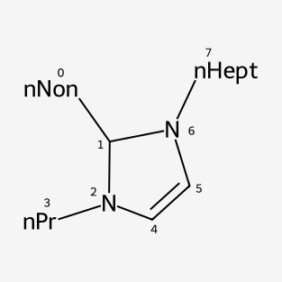 CCCCCCCCCC1N(CCC)C=CN1CCCCCCC